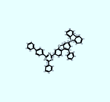 c1ccc(-c2ccc(-c3nc(-c4ccccc4)nc(-c4ccc5c(c4)oc4cc(-n6c7ccccc7c7ccccc76)cc(-c6ccccc6)c45)n3)cc2)cc1